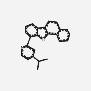 CC(C)c1ccnc(-c2cccc3c2oc2c4ccccc4ccc32)c1